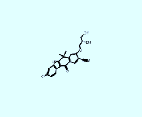 CC1(C)c2cc(OC[C@@H](O)CO)c(C#N)cc2C(=O)c2c1[nH]c1cc(Cl)ccc21